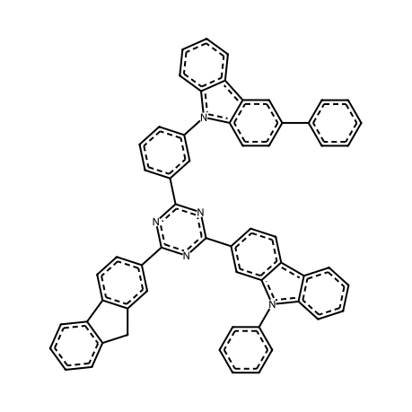 c1ccc(-c2ccc3c(c2)c2ccccc2n3-c2cccc(-c3nc(-c4ccc5c(c4)Cc4ccccc4-5)nc(-c4ccc5c6ccccc6n(-c6ccccc6)c5c4)n3)c2)cc1